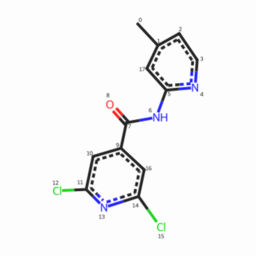 Cc1ccnc(NC(=O)c2cc(Cl)nc(Cl)c2)c1